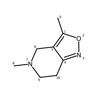 Cc1onc2c1CN(C)CC2